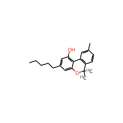 CCCCCc1cc(O)c2c(c1)OC([13CH3])([13CH3])c1ccc(C)cc1-2